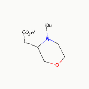 CCC(C)N1CCOCC1CC(=O)O